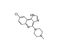 CN1CCN(c2nc3ccc(Cl)cc3c3[nH]cnc23)CC1